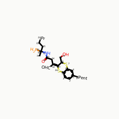 CCCC(C)c1ccc2c(c1)SC(CO)/C(=C(/C=O)CC(=O)NC(C)(P)CCC(C)C)S2